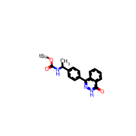 CC(NC(=O)OC(C)(C)C)c1ccc(-c2n[nH]c(=O)c3ccccc23)cc1